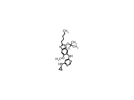 CCCCCc1nc2cc(OC)c(Nc3cc(NC4CC4)ncn3)cc2n1OC(C)(C)C